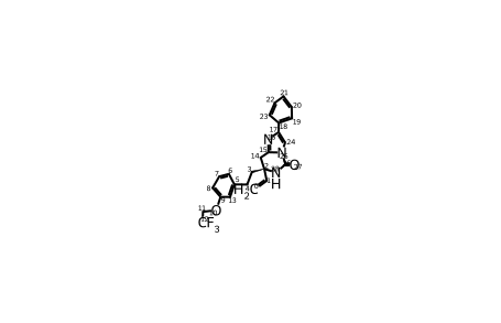 C=C[C@]1(CCc2cccc(OCC(F)(F)F)c2)Cc2nc(-c3ccccc3)cn2C(=O)N1